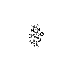 Cc1nc2c(nc1C)C(=O)c1c(oc3c(C)sc(C)c13)C2=O